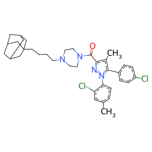 Cc1ccc(-n2nc(C(=O)N3CCN(CCCCC45CC6CC(CC(C6)C4)C5)CC3)c(C)c2-c2ccc(Cl)cc2)c(Cl)c1